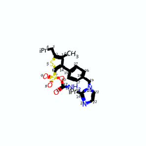 Cc1c(CC(C)C)sc(S(=O)(=O)OC(N)=O)c1-c1ccc(Cn2ccnc2C(C)C)cc1